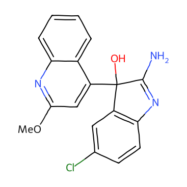 COc1cc(C2(O)C(N)=Nc3ccc(Cl)cc32)c2ccccc2n1